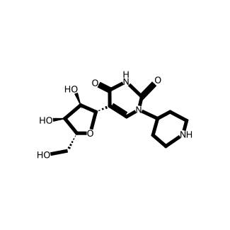 O=c1[nH]c(=O)n(C2CCNCC2)cc1[C@@H]1O[C@H](CO)[C@@H](O)[C@H]1O